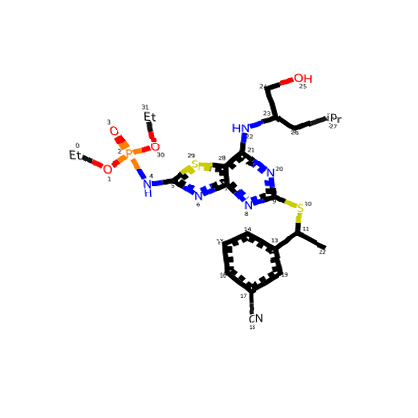 CCOP(=O)(Nc1nc2nc(SC(C)c3cccc(C#N)c3)nc(NC(CO)CC(C)C)c2s1)OCC